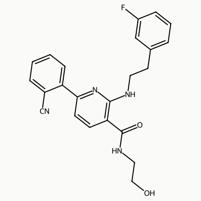 N#Cc1ccccc1-c1ccc(C(=O)NCCO)c(NCCc2cccc(F)c2)n1